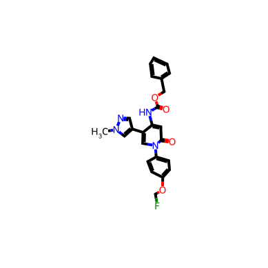 Cn1cc(-c2cn(-c3ccc(OCF)cc3)c(=O)cc2NC(=O)OCc2ccccc2)cn1